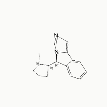 C[C@H]1CCC[C@H]1[C@@H]1c2ccccc2-c2cncn21